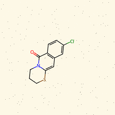 O=c1c2ccc(Cl)cc2cc2n1CCCS2